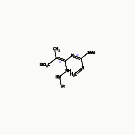 C=N/C(=N\C(NNC(C)C)=C(/C)C(=O)OCC)SC